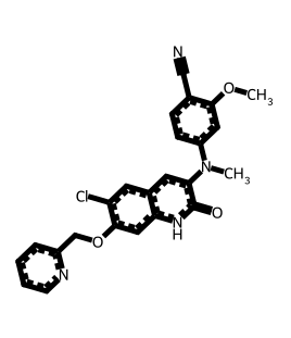 COc1cc(N(C)c2cc3cc(Cl)c(OCc4ccccn4)cc3[nH]c2=O)ccc1C#N